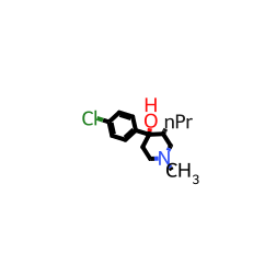 CCCC1CN(C)CCC1(O)c1ccc(Cl)cc1